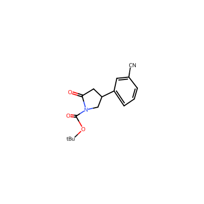 CC(C)(C)OC(=O)N1CC(c2cccc(C#N)c2)CC1=O